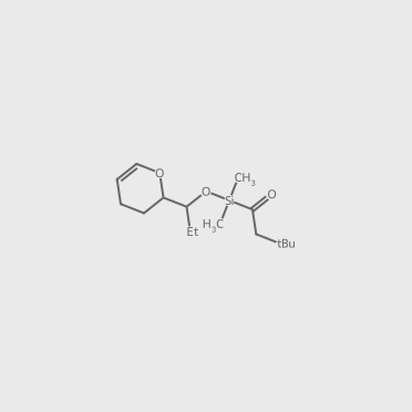 CCC(O[Si](C)(C)C(=O)CC(C)(C)C)C1CCC=CO1